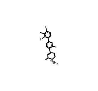 Cc1c(F)ccc(-c2ccc(C3=CC(C)[C@@H](N)C=C3)c(F)c2)c1F